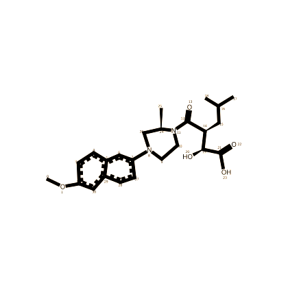 COc1ccc2cc(N3CCN(C(=O)[C@@H](CC(C)C)[C@H](O)C(=O)O)[C@H](C)C3)ccc2c1